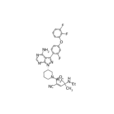 CCNC(C)(C)/C=C(/C#N)C(=O)N1CCC[C@H](n2nc(-c3ccc(Oc4cccc(F)c4F)cc3F)c3c(N)ncnc32)C1